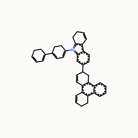 C1=CCCC(C2=CC=C(n3c4c(c5ccc(C6C=Cc7c8c(c9ccccc9c7C6)CCC=C8)cc53)C=CCC4)CC2)=C1